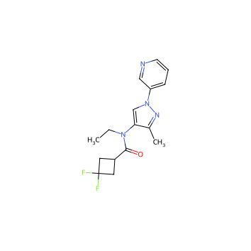 CCN(C(=O)C1CC(F)(F)C1)c1cn(-c2cccnc2)nc1C